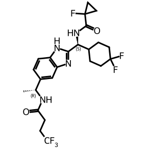 C[C@@H](NC(=O)CCC(F)(F)F)c1ccc2[nH]c([C@@H](NC(=O)C3(F)CC3)C3CCC(F)(F)CC3)nc2c1